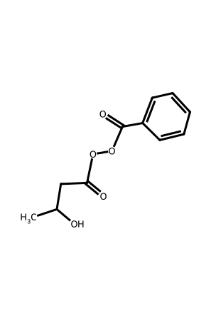 CC(O)CC(=O)OOC(=O)c1ccccc1